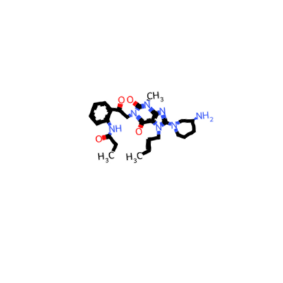 C/C=C/Cn1c(N2CCC[C@H](N)C2)nc2c1c(=O)n(CC(=O)c1ccccc1NC(=O)CC)c(=O)n2C